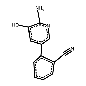 N#Cc1ccccc1-c1cnc(N)c(O)c1